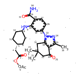 CC(=O)OOC(=O)C[C@H]1CC[C@H](Nc2cc(-n3nc(C)c4c3CC(C)(C)CC4=O)ccc2C(N)=O)CC1